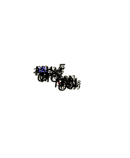 COc1ncc(-c2cc(F)cc(-c3ccc(N(C=O)/C=C\N(C)C)c(Cl)c3)c2O)cc1N1CCCN(C(C)(C)C)CC1